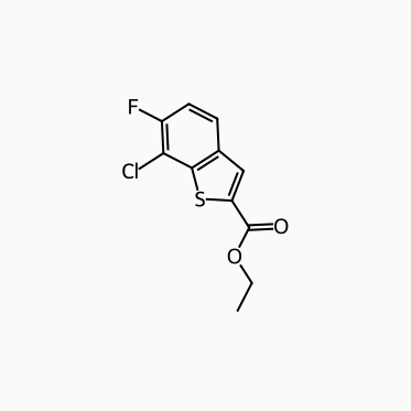 CCOC(=O)c1cc2ccc(F)c(Cl)c2s1